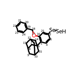 [SeH][Se]c1ccc(C23CC4CC(CC(C4)C2)C3)c(OCc2ccccc2)c1